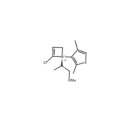 COCC(C)[N@+]1(c2c(C)csc2C)CC=C1Cl